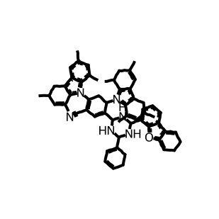 CC1=Cc2c3c(n(C4CC(n5c6c(c7cc(C)cc(C)c75)CC(C)C=C6C)=C(C#N)C=C4C4NC(C5=CC=CCC5)NC(c5cccc6c7c(oc56)=CCCC=7)N4)c2C(C)C1)C(C)=CC(C)C3